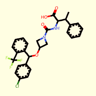 CC(c1ccccc1)C(NC(=O)N1CC(OC(c2ccc(Cl)cc2)c2ccccc2C(F)(F)F)C1)C(=O)O